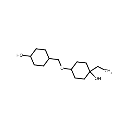 CCC1(O)CCC(OCC2CCC(O)CC2)CC1